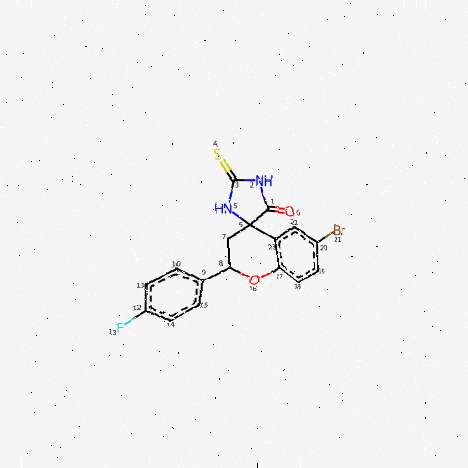 O=C1NC(=S)NC12CC(c1ccc(F)cc1)Oc1ccc(Br)cc12